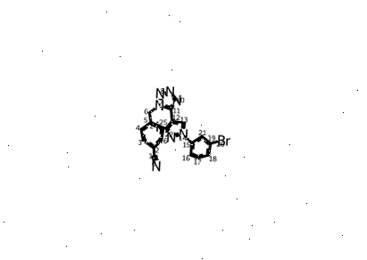 N#Cc1ccc(Cn2nnnc2-c2cn(-c3cccc(Br)c3)nc2I)cc1